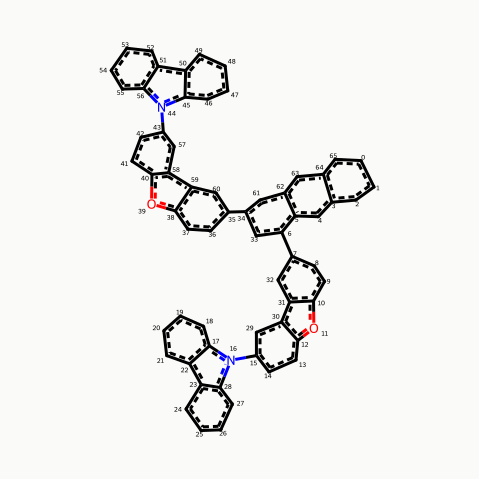 c1ccc2cc3c(-c4ccc5oc6ccc(-n7c8ccccc8c8ccccc87)cc6c5c4)cc(-c4ccc5oc6ccc(-n7c8ccccc8c8ccccc87)cc6c5c4)cc3cc2c1